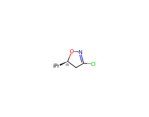 CC(C)[C@@H]1CC(Cl)=NO1